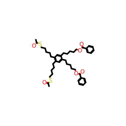 CC(=O)SCCCCCc1cc(CCCCCOC(=O)c2ccccc2)c(CCCCCOC(=O)c2ccccc2)cc1CCCCCSC(C)=O